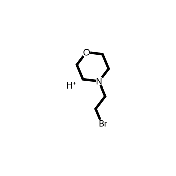 BrCCN1CCOCC1.[H+]